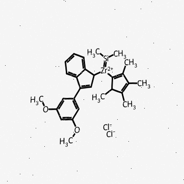 COc1cc(OC)cc(C2=C[CH]([Zr+2]([C]3=C(C)C(C)=C(C)C3C)=[Si](C)C)c3ccccc32)c1.[Cl-].[Cl-]